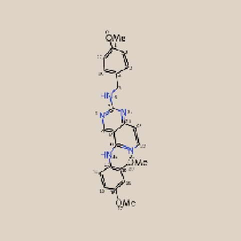 COc1ccc(CNc2ncc3c(Nc4ccc(OC)cc4OC)nccc3n2)cc1